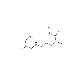 [2H]C(CN)C([2H])NCCNC([2H])C([2H])CN